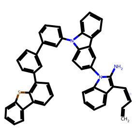 C=C/C=C\c1c(N)n(-c2ccc3c(c2)c2ccccc2n3-c2cccc(-c3cccc(-c4cccc5c4sc4ccccc45)c3)c2)c2ccccc12